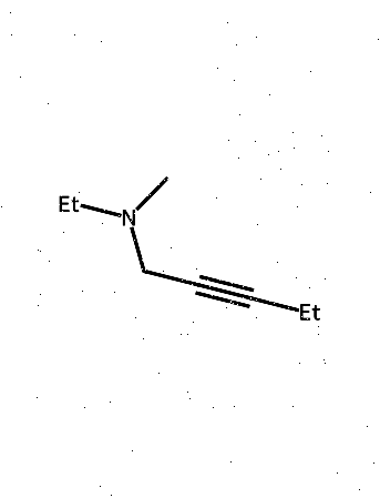 [CH2]CC#CCN(C)CC